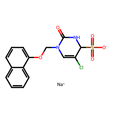 O=C1NC(S(=O)(=O)[O-])C(Cl)=CN1COc1cccc2ccccc12.[Na+]